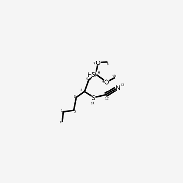 CCCCC(C[SiH](OC)OC)SC#N